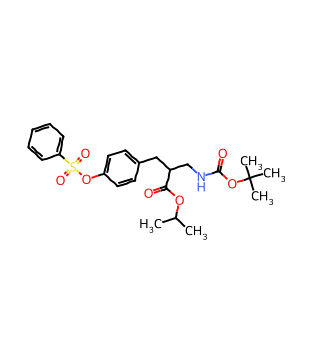 CC(C)OC(=O)C(CNC(=O)OC(C)(C)C)Cc1ccc(OS(=O)(=O)c2ccccc2)cc1